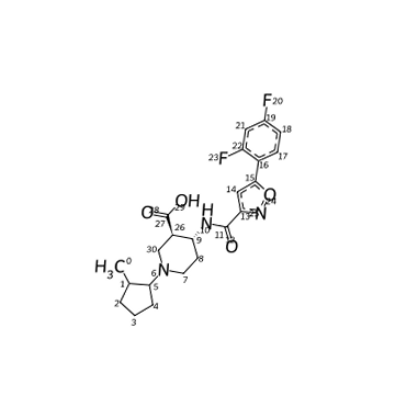 CC1CCCC1N1CC[C@@H](NC(=O)c2cc(-c3ccc(F)cc3F)on2)[C@H](C(=O)O)C1